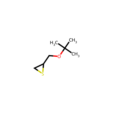 CC(C)(C)OCC1CS1